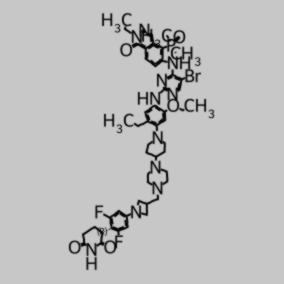 CCOc1cc(N2CCC(N3CCN(CC4CN(c5cc(F)c([C@H]6CCC(=O)NC6=O)c(F)c5)C4)CC3)CC2)c(CC)cc1Nc1ncc(Br)c(Nc2ccc3c(=O)n(CC)ncc3c2P(C)(C)=O)n1